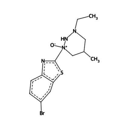 CCN1CC(C)C[N+]([O-])(c2nc3ccc(Br)cc3s2)N1